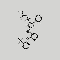 COC(=O)CC(C)(C)c1nc(Nc2cccnc2Oc2ccccc2C(C)(C)C)sc1-c1ccccc1